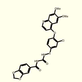 COc1cc2nccc(Oc3ccc(SNC(=O)NC(=O)c4ccc5c(c4)OCO5)cc3Cl)c2cc1OC